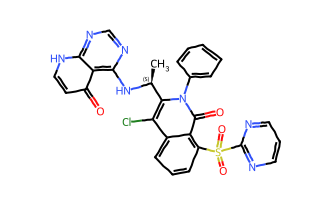 C[C@H](Nc1ncnc2[nH]ccc(=O)c12)c1c(Cl)c2cccc(S(=O)(=O)c3ncccn3)c2c(=O)n1-c1ccccc1